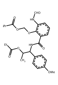 CCC(=O)OC(C)C(NC(=O)c1cccc(NC=O)c1OCOC(=O)C(C)C)c1ccc(OC)cc1